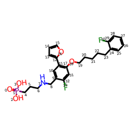 O=P(O)(O)CCCNCc1cc(-c2ccco2)c(OCCCCCc2ccccc2F)cc1F